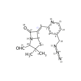 CC1(C)SC2/C(=C\c3cc(CN=[N+]=[N-])ccn3)C(=O)N2C1C=O